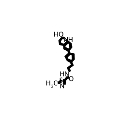 Cc1ncc(C(=O)NCCCc2ccc(-c3ccc4c(c3)CCC(O)N4)cc2)s1